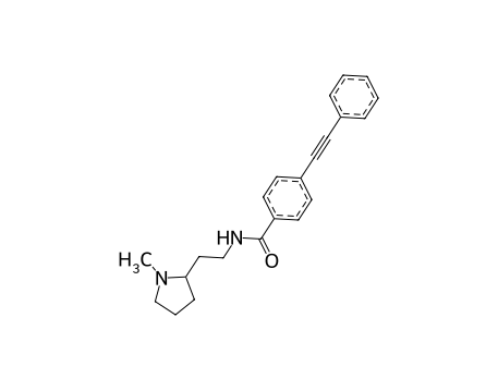 CN1CCCC1CCNC(=O)c1ccc(C#Cc2ccccc2)cc1